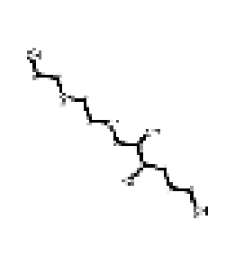 OCCCC(O)C(O)COCCOCCO